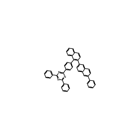 c1ccc(-c2ccc3cc(-c4ccc5ccccc5c4-c4ccc(-c5nc(-c6ccccc6)nc(-c6ccccc6)n5)cc4)ccc3c2)cc1